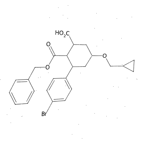 O=C(O)C1CC(OCC2CC2)CC(c2ccc(Br)cc2)C1C(=O)OCc1ccccc1